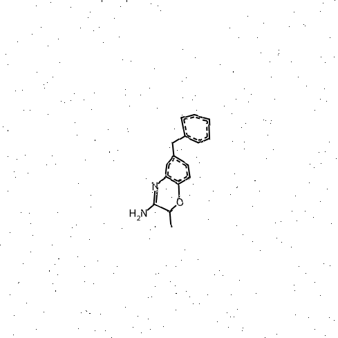 CC1Oc2ccc(Cc3ccccc3)cc2N=C1N